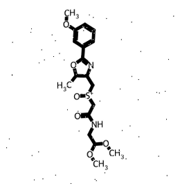 COc1cccc(C2=NC(C[S+]([O-])CC(=O)NCC(OC)OC)C(C)O2)c1